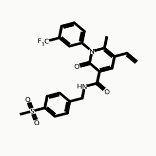 C=Cc1cc(C(=O)NCc2ccc(S(C)(=O)=O)cc2)c(=O)n(-c2cccc(C(F)(F)F)c2)c1C